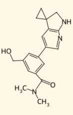 CN(C)C(=O)c1cc(CO)cc(-c2cnc3c(c2)C2(CC2)CN3)c1